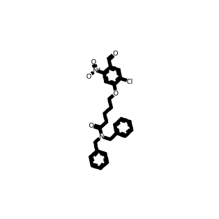 O=Cc1cc(Cl)c(OCCCCC(=O)N(Cc2ccccc2)Cc2ccccc2)cc1[N+](=O)[O-]